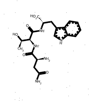 C[C@@H](O)[C@H](NC(=O)[C@@H](N)CC(N)=O)C(=O)N[C@@H](Cc1c[nH]c2ccccc12)C(=O)O